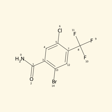 NC(=O)c1cc(Cl)c(C(F)(F)F)cc1Br